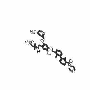 Cc1c(COc2cc(OCc3cncc(C#N)c3)c(CNC(C)(CO)CO)cc2Cl)cccc1-c1cccc(C(=O)N2CCOCC2)c1C